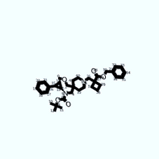 COCC1(CN(C(=O)OC(C)(C)C)[C@@H]2CC2c2ccccc2)CCN(CC2(C(=O)OCc3ccccc3)CCC2)CC1